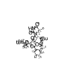 Cc1cn([C@H]2C[C@@H](OC(=O)c3ccccc3C(C)SSC(C)(C)C)[C@@H](CO[Si](C)(C)C(C)(C)C)O2)c(=O)[nH]c1=O